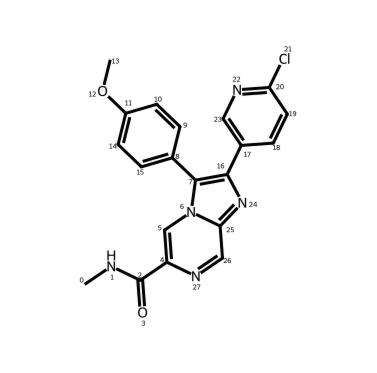 CNC(=O)c1cn2c(-c3ccc(OC)cc3)c(-c3ccc(Cl)nc3)nc2cn1